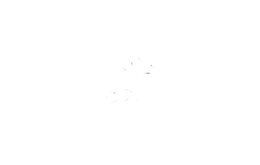 CN(Cc1ccc(C(=O)CSc2nc(C(F)(F)F)nc3nn(C)cc23)s1)C(=O)CO